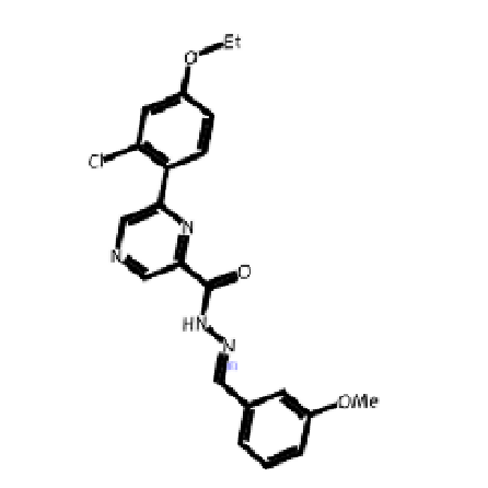 CCOc1ccc(-c2cncc(C(=O)N/N=C/c3cccc(OC)c3)n2)c(Cl)c1